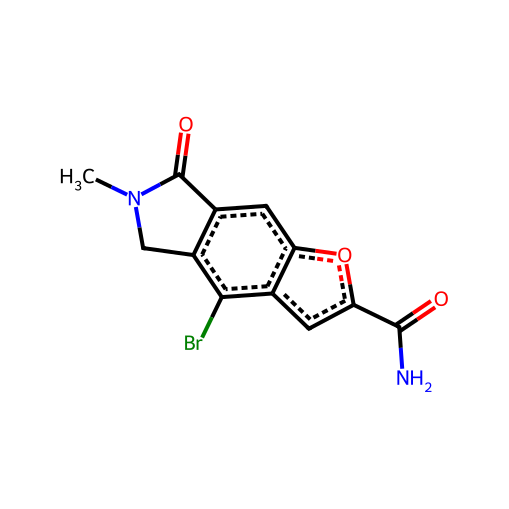 CN1Cc2c(cc3oc(C(N)=O)cc3c2Br)C1=O